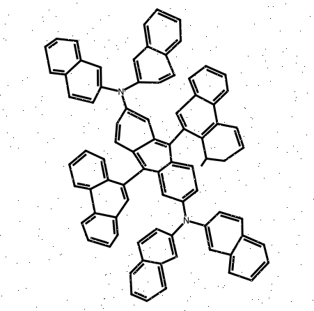 CC1CC=Cc2c1c(-c1c3cc(N(c4ccc5ccccc5c4)c4ccc5ccccc5c4)ccc3c(-c3cc4ccccc4c4ccccc34)c3cc(N(c4ccc5ccccc5c4)c4ccc5ccccc5c4)ccc13)cc1ccccc21